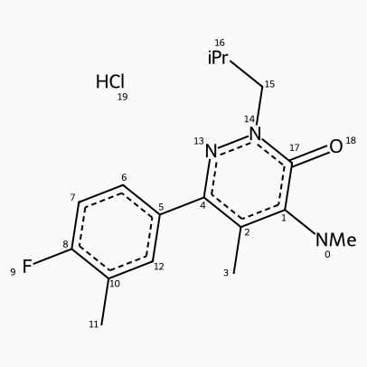 CNc1c(C)c(-c2ccc(F)c(C)c2)nn(CC(C)C)c1=O.Cl